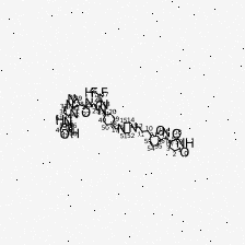 O=C1CC[C@@H](c2noc3c(CCCN4CCN(CC5CCC(n6cc(NC(=O)c7cnn8ccc(N9C[C@H]%10C[C@@H]9CO%10)nc78)c(C(F)F)n6)CC5)CC4)cccc23)C(=O)N1